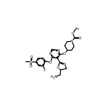 CC(C)OC(=O)N1CCC(Oc2ncnc(Oc3ccc(S(C)(=O)=O)cc3F)c2C2=NCC(CN)O2)CC1